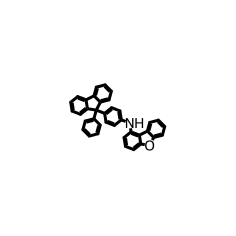 c1ccc(C2(c3ccc(Nc4cccc5oc6ccccc6c45)cc3)c3ccccc3-c3ccccc32)cc1